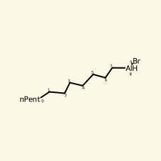 CCCCCCCCCCC[CH2][AlH][Br]